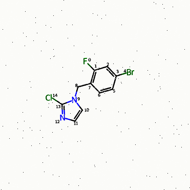 Fc1cc(Br)ccc1Cn1ccnc1Cl